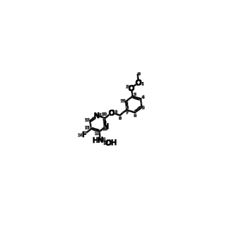 COOc1cccc(COc2ncc(F)c(NO)n2)c1